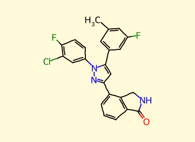 Cc1cc(F)cc(-c2cc(-c3cccc4c3CNC4=O)nn2-c2ccc(F)c(Cl)c2)c1